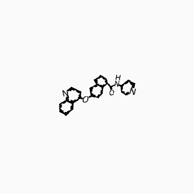 O=C(Nc1ccncc1)c1cccc2cc(Oc3ccnc4ccccc34)ccc12